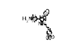 CS(=O)(=O)N1CCN(CCCn2cnc3c(-c4cnc(N)nc4)nc(N4CCOCC4)nc32)CC1